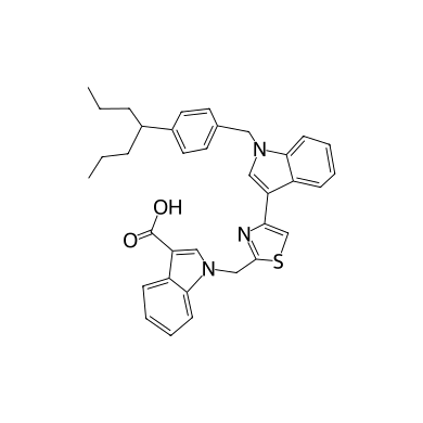 CCCC(CCC)c1ccc(Cn2cc(-c3csc(Cn4cc(C(=O)O)c5ccccc54)n3)c3ccccc32)cc1